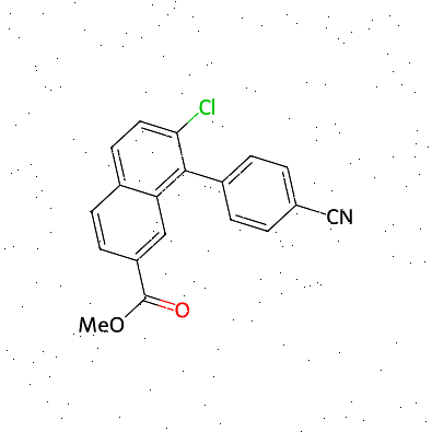 COC(=O)c1ccc2ccc(Cl)c(-c3ccc(C#N)cc3)c2c1